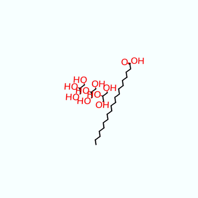 CCCCCCCCCCCCCCCCCCCC(=O)O.OCC(O)CO.OCC(O)CO.OCC(O)CO